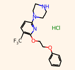 Cl.FC(F)(F)c1ccc(N2CCNCC2)nc1OCCOc1ccccc1